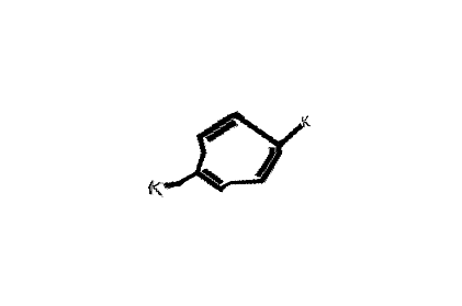 [K][c]1cc[c]([K])cc1